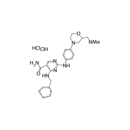 CNCC1CN(c2ccc(Nc3ncc(C(N)=O)c(NCc4ccccc4)n3)cc2)CCO1.Cl.Cl